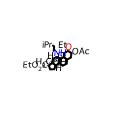 CCOC(=O)C1CC[C@H]2[C@@H]3CCC4CC(OC(C)=O)C(OCC)C[C@]4(C)[C@@H]3C(NCCC(C)C)C[C@]12C